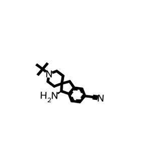 CC(C)(C)N1CCC2(CC1)Cc1cc(C#N)ccc1[C@H]2N